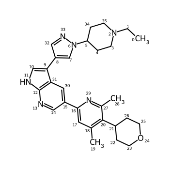 CCN1CCC(n2cc(-c3c[nH]c4ncc(-c5cc(C)c(C6CCOCC6)c(C)n5)cc34)cn2)CC1